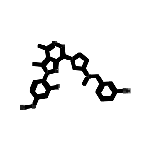 CCOc1ccc(-n2nc3c(N4CCC(N(C)Cc5cccc(O)c5)C4)nnc(C)c3c2C)c(F)c1